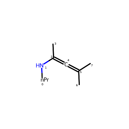 CCCNC(C)=C=C(C)C